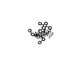 C=C(/N=C(\NC(N)c1cccc(-c2ccccc2)c1)c1ccc2c(c1)C(C)(C)c1cc3c(-c4ccccc4)c4ccccc4c(-c4ccccc4)c3cc1-2)c1cccc(-c2ccccc2)c1